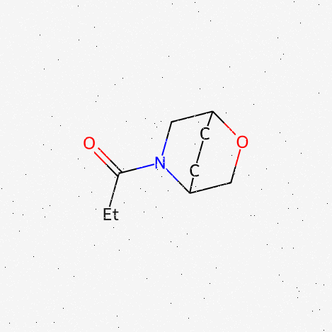 CCC(=O)N1CC2CCC1CO2